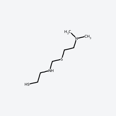 CN(C)CCSCNCCS